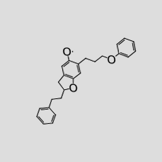 [O]c1cc2c(cc1CCCOc1ccccc1)OC(CCc1ccccc1)C2